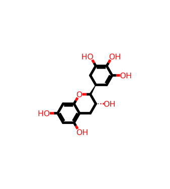 OC1=C[C@@H](C2Oc3cc(O)cc(O)c3C[C@H]2O)CC(O)=C1O